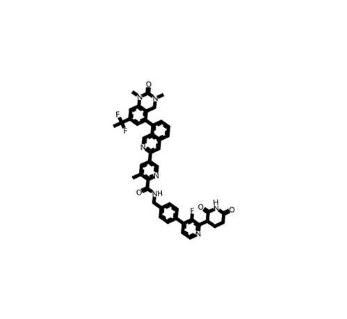 Cc1cc(-c2cc3cccc(-c4cc(C(C)(F)F)cc5c4CN(C)C(=O)N5C)c3cn2)cnc1C(=O)NCc1ccc(-c2ccnc(C3CCC(=O)NC3=O)c2F)cc1